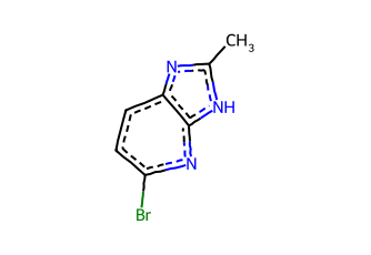 Cc1nc2ccc(Br)nc2[nH]1